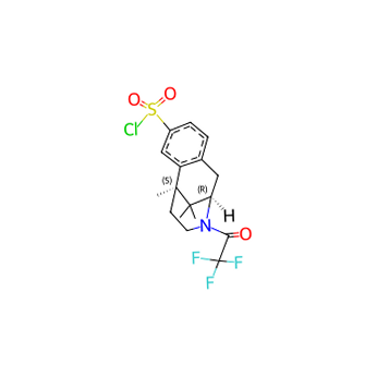 CC1(C)[C@H]2Cc3ccc(S(=O)(=O)Cl)cc3[C@]1(C)CCN2C(=O)C(F)(F)F